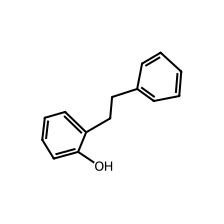 Oc1ccccc1CCc1ccccc1